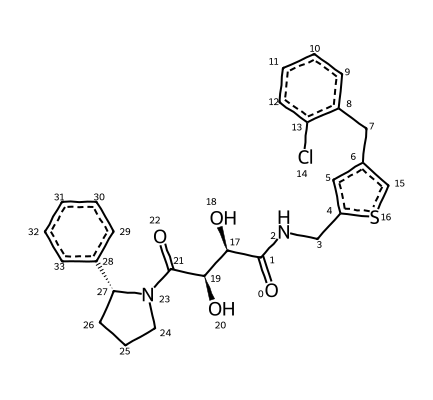 O=C(NCc1cc(Cc2ccccc2Cl)cs1)[C@H](O)[C@@H](O)C(=O)N1CCC[C@@H]1c1ccccc1